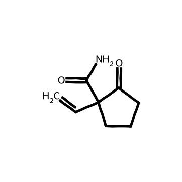 C=CC1(C(N)=O)CCCC1=O